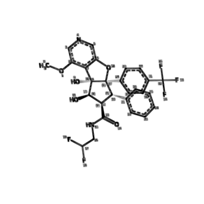 COc1cncc2c1[C@]1(O)[C@H](O)[C@H](C(=O)NCC(F)F)[C@@H](c3ccccc3)[C@]1(c1ccc(C(F)(F)F)cc1)O2